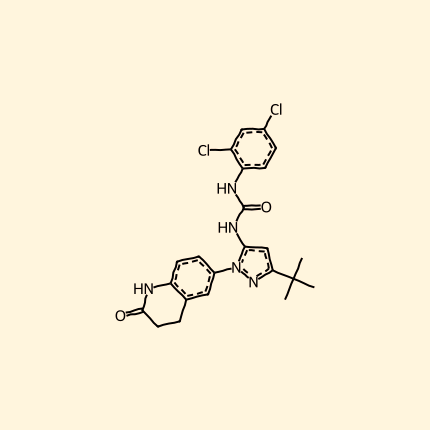 CC(C)(C)c1cc(NC(=O)Nc2ccc(Cl)cc2Cl)n(-c2ccc3c(c2)CCC(=O)N3)n1